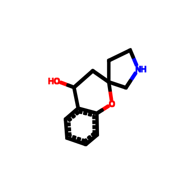 OC1CC2(CCNC2)Oc2ccccc21